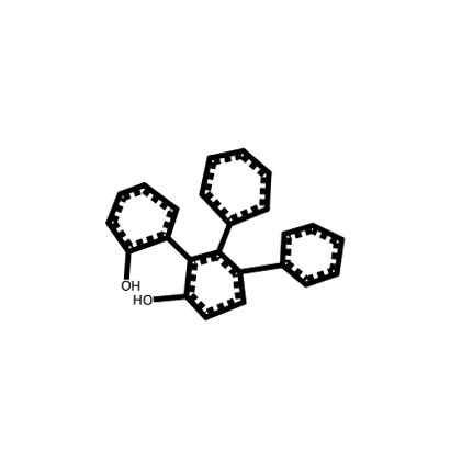 Oc1ccccc1-c1c(O)ccc(-c2ccccc2)c1-c1ccccc1